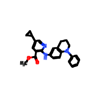 COC(=O)c1cc(C2CC2)cnc1Nc1ccc2c(c1)CCCN2c1ccccc1